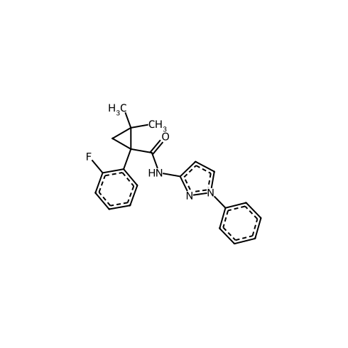 CC1(C)CC1(C(=O)Nc1ccn(-c2ccccc2)n1)c1ccccc1F